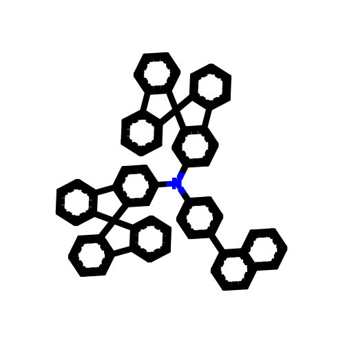 c1ccc2c(c1)-c1ccccc1C21c2ccccc2-c2ccc(N(c3ccc(-c4cccc5ccccc45)cc3)c3ccc4c(c3)C3(c5ccccc5-c5ccccc53)c3ccccc3-4)cc21